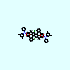 Cc1cc(C)cc(N(c2ccccc2)c2ccc3c(c2)C(C)(C)c2cc4c(-c5c(F)cccc5-c5ccccc5)c5c(cc4c(-c4c(F)cccc4-c4ccccc4)c2-3)C(C)(C)c2cc(N(c3ccccc3)c3cc(C)cc(C)c3)ccc2-5)c1